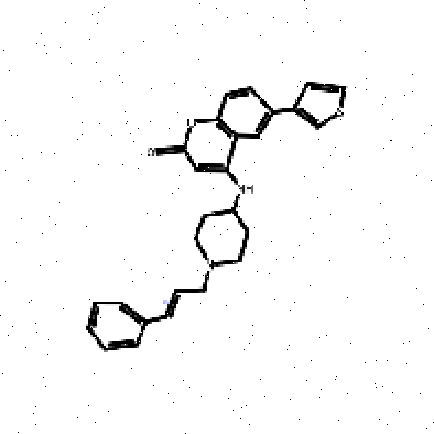 O=c1cc(NC2CCN(C/C=C/c3ccccc3)CC2)c2cc(-c3ccsc3)ccc2o1